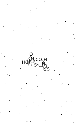 C[C@@H](O)[C@]1(C)C(SCCc2ncc3sccn23)=C(C(=O)O)N2C(=O)C[C@H]21